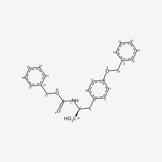 O=C(N[C@@H](Cc1ccc(OCc2ccccc2)cc1)C(=O)O)OCc1ccccc1